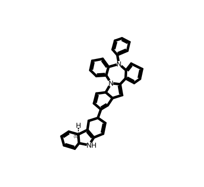 C1=CC2NC3=C(CC(C4=CC5C=C6c7ccccc7N(c7ccccc7)c7ccccc7N6C5C=C4)C=C3)[C@@H]2C=C1